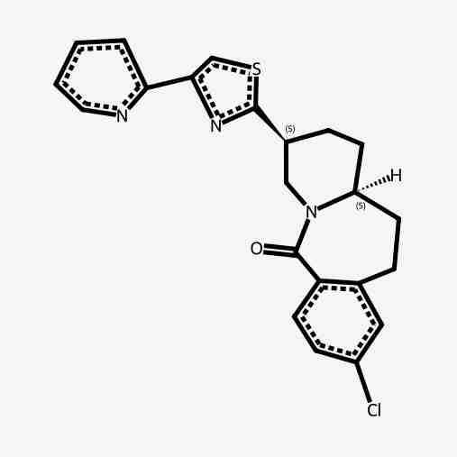 O=C1c2ccc(Cl)cc2CC[C@@H]2CC[C@H](c3nc(-c4ccccn4)cs3)CN12